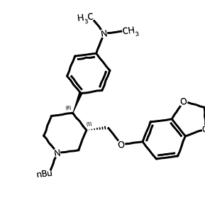 CCCCN1CC[C@@H](c2ccc(N(C)C)cc2)[C@H](COc2ccc3c(c2)OCO3)C1